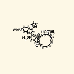 COc1ccc2c(-n3cccn3)cc(C(=O)N(C)C[C@@H]3C[C@H]4C(=O)NC(C(=O)O)[C@@H](C)/C=C\CCCCCCC(=O)N4C3)nc2c1